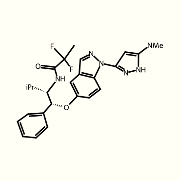 CNc1cc(-n2ncc3cc(O[C@H](c4ccccc4)[C@@H](NC(=O)C(C)(F)F)C(C)C)ccc32)n[nH]1